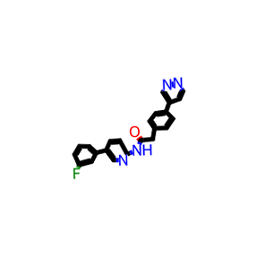 O=C(Cc1ccc(-c2ccnnc2)cc1)Nc1ccc(-c2cccc(F)c2)cn1